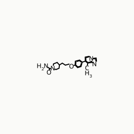 Cc1c(-c2ccc(OCCCC3CCN(C(N)=O)CC3)cc2)ccn2ccnc12